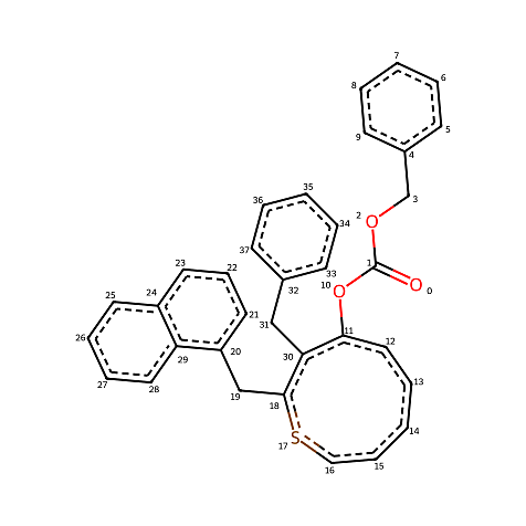 O=C(OCc1ccccc1)Oc1cccccsc(Cc2cccc3ccccc23)c1Cc1ccccc1